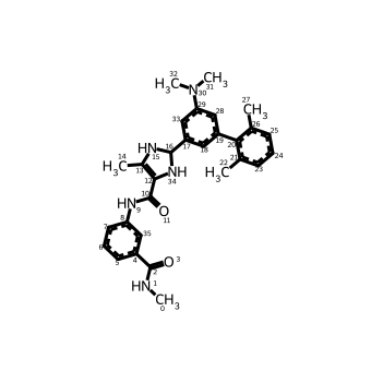 CNC(=O)c1cccc(NC(=O)C2=C(C)NC(c3cc(-c4c(C)cccc4C)cc(N(C)C)c3)N2)c1